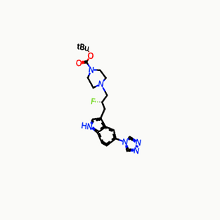 CC(C)(C)OC(=O)N1CCN(C[C@@H](F)Cc2c[nH]c3ccc(-n4cnnc4)cc23)CC1